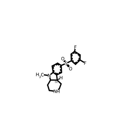 CN1c2ccc(S(=O)(=O)c3cc(F)cc(F)c3)cc2[C@@H]2CCNCCC21